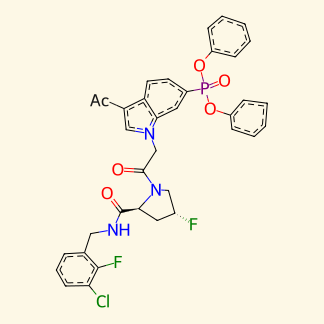 CC(=O)c1cn(CC(=O)N2C[C@H](F)C[C@H]2C(=O)NCc2cccc(Cl)c2F)c2cc(P(=O)(Oc3ccccc3)Oc3ccccc3)ccc12